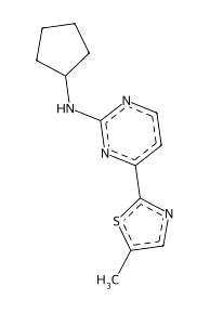 Cc1cnc(-c2ccnc(NC3CCCC3)n2)s1